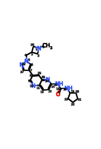 CN1CC(Cn2cc(-c3cnc4ccc(NC(=O)NC5CCCC5)nc4c3)cn2)C1